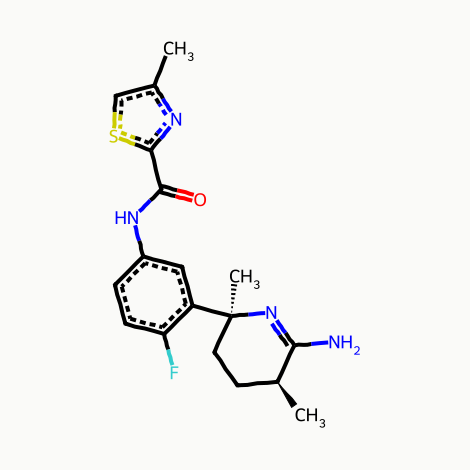 Cc1csc(C(=O)Nc2ccc(F)c([C@]3(C)CC[C@H](C)C(N)=N3)c2)n1